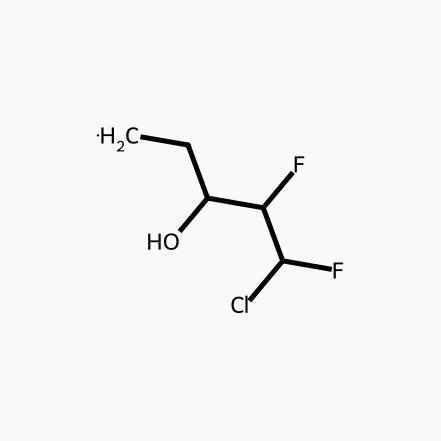 [CH2]CC(O)C(F)C(F)Cl